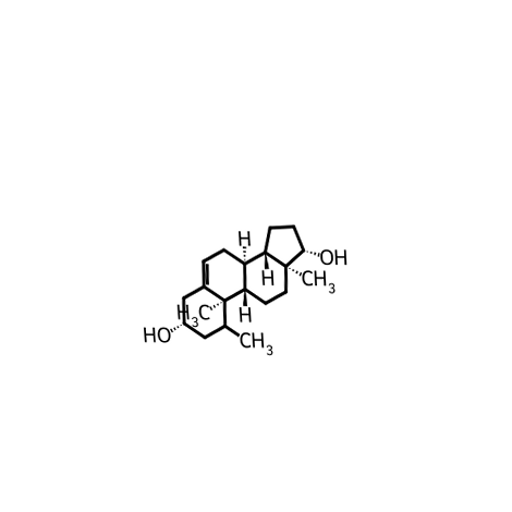 CC1C[C@H](O)CC2=CC[C@H]3[C@@H]4CC[C@H](O)[C@@]4(C)CC[C@@H]3[C@]21C